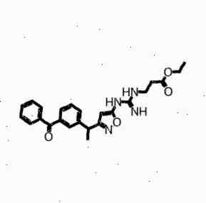 CCOC(=O)CCNC(=N)Nc1cc(C(C)c2cccc(C(=O)c3ccccc3)c2)no1